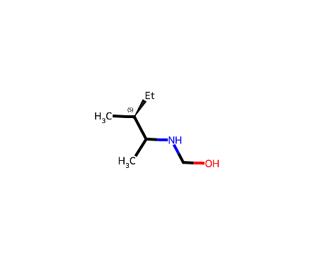 CC[C@H](C)C(C)NCO